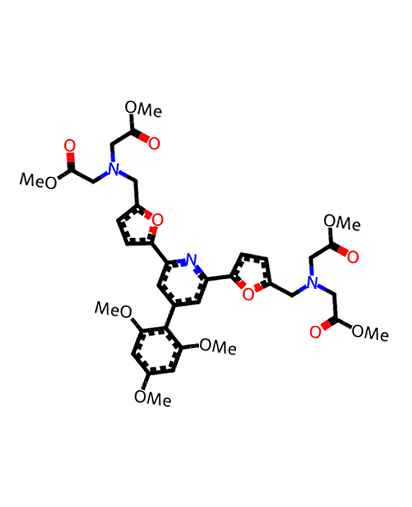 COC(=O)CN(CC(=O)OC)Cc1ccc(-c2cc(-c3c(OC)cc(OC)cc3OC)cc(-c3ccc(CN(CC(=O)OC)CC(=O)OC)o3)n2)o1